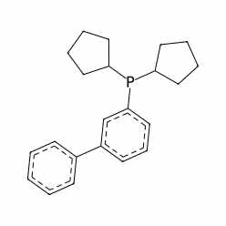 c1ccc(-c2cccc(P(C3CCCC3)C3CCCC3)c2)cc1